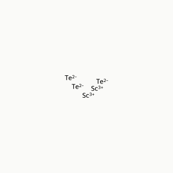 [Sc+3].[Sc+3].[Te-2].[Te-2].[Te-2]